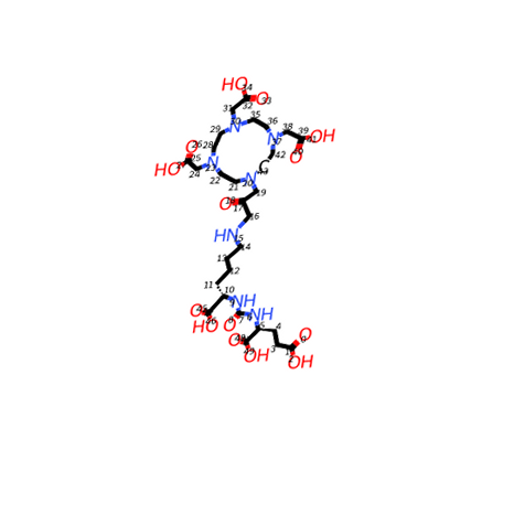 O=C(O)CC[C@H](NC(=O)N[C@@H](CCCCNCC(=O)CN1CCN(CC(=O)O)CCN(CC(=O)O)CCN(CC(=O)O)CC1)C(=O)O)C(=O)O